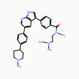 CN(C)CCN(C)C(=O)c1ccc(-c2c[nH]c3ncc(-c4ccc(C5CCN(C)CC5)cc4)cc23)cc1